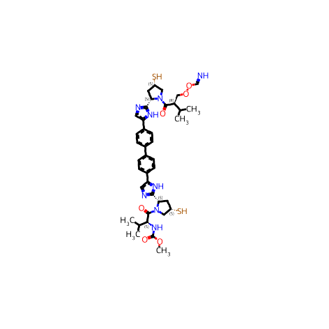 COC(=O)N[C@H](C(=O)N1C[C@@H](S)C[C@H]1c1ncc(-c2ccc(-c3ccc(-c4cnc([C@@H]5C[C@H](S)CN5C(=O)[C@@H](COOC=N)C(C)C)[nH]4)cc3)cc2)[nH]1)C(C)C